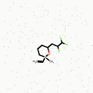 C=C[Si]1(C)CCCC(CC(F)C(F)F)O1